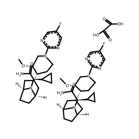 CO[C@@H]1CN(c2ncc(F)cn2)CC[C@@H]1C1C[C@H]2CC[C@@H](C1)N2[C@@H](C(N)=O)C1CC1.CO[C@@H]1CN(c2ncc(F)cn2)CC[C@@H]1C1C[C@H]2CC[C@@H](C1)N2[C@@H](C(N)=O)C1CC1.O=C(O)C(=O)O